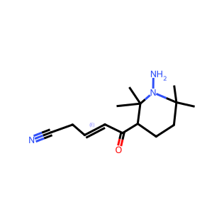 CC1(C)CCC(C(=O)/C=C/CC#N)C(C)(C)N1N